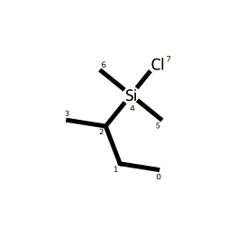 CCC(C)[Si](C)(C)Cl